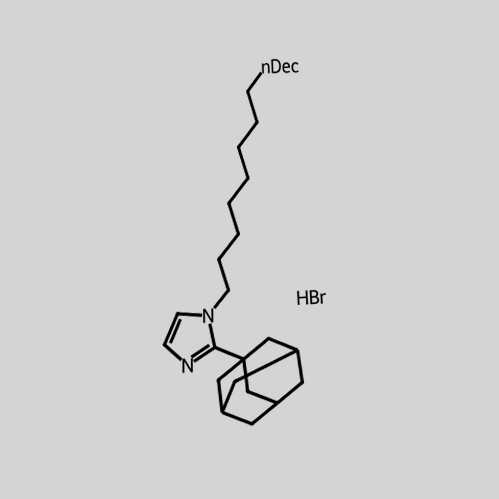 Br.CCCCCCCCCCCCCCCCCCn1ccnc1C12CC3CC(CC(C3)C1)C2